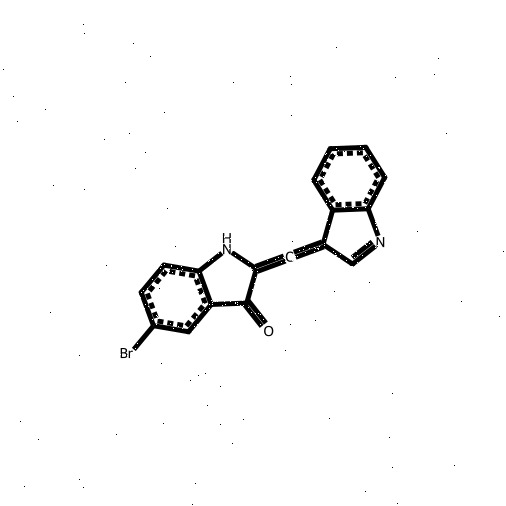 O=C1C(=C=C2C=Nc3ccccc32)Nc2ccc(Br)cc21